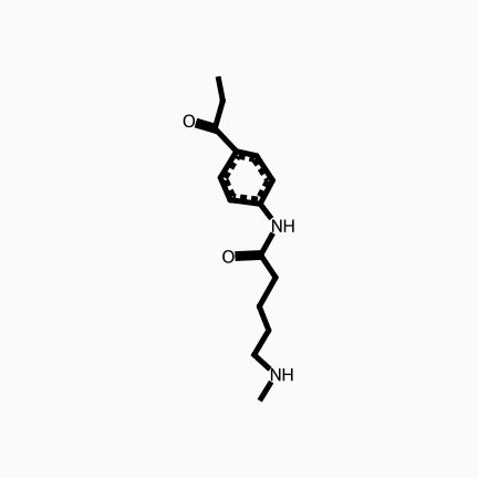 CCC(=O)c1ccc(NC(=O)CCCCNC)cc1